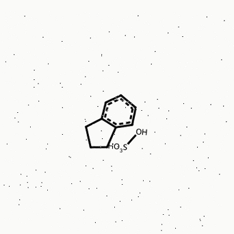 O=S(=O)(O)O.c1ccc2c(c1)CCC2